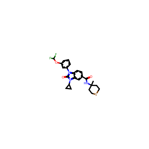 CC1(NC(=O)c2ccc3c(c2)n(C2CC2)c(=O)n3-c2cccc(OC(F)F)c2)CCSCC1